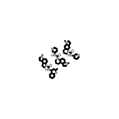 Cc1cc(NC(=O)N2CCc3c2ccc2c3ccn2C)c2ccccc2n1.Cn1ccc2c3c(ccc21)N(C(=O)Nc1cccnc1)CCC3.Cn1ccc2cc3c(cc21)CCCN3C(=O)Nc1cccnc1